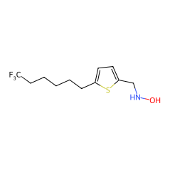 ONCc1ccc(CCCCCC(F)(F)F)s1